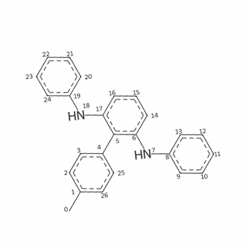 Cc1ccc(-c2c(Nc3ccccc3)cccc2Nc2ccccc2)cc1